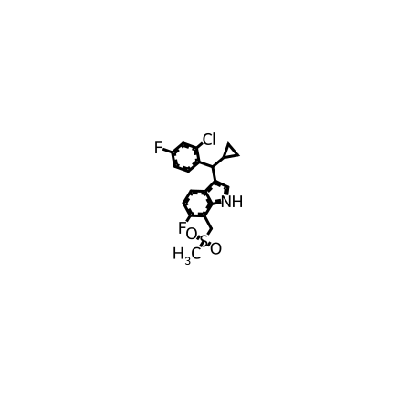 CS(=O)(=O)Cc1c(F)ccc2c(C(c3ccc(F)cc3Cl)C3CC3)c[nH]c12